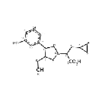 O=C(O)C(CC1CC1)N1CC(CO)C(c2cccc(F)c2)C1